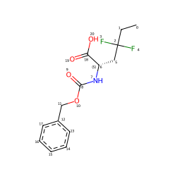 CCC(F)(F)C[C@H](NC(=O)OCc1ccccc1)C(=O)O